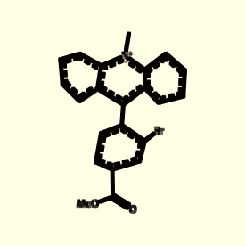 COC(=O)c1ccc(-c2c3ccccc3[n+](C)c3ccccc23)c(Br)c1